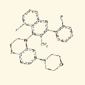 Cc1c(-c2ccccc2F)nc2cccc(F)c2c1N1CCSc2ccc(N3CCOCC3)cc21